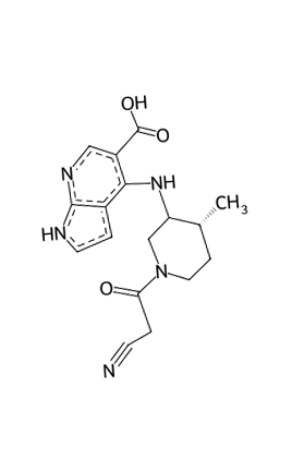 C[C@@H]1CCN(C(=O)CC#N)CC1Nc1c(C(=O)O)cnc2[nH]ccc12